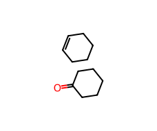 C1=CCCCC1.O=C1CCCCC1